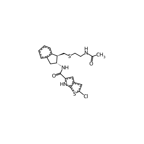 CC(=O)NCCSC[C@@H]1c2ccccc2C[C@H]1NC(=O)c1cc2cc(Cl)sc2[nH]1